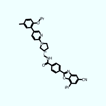 Cc1ccc(OC(C)C)c(-c2ccc(N3CC[C@H](CNC(=O)c4ccc(-c5nc6cc(C#N)cc(C(C)C)c6o5)cc4)C3)nc2)c1